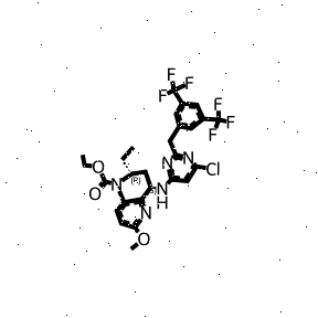 CCOC(=O)N1c2ccc(OC)nc2[C@@H](Nc2cc(Cl)nc(Cc3cc(C(F)(F)F)cc(C(F)(F)F)c3)n2)C[C@H]1CC